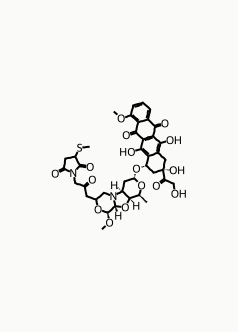 COc1cccc2c1C(=O)c1c(O)c3c(c(O)c1C2=O)C[C@@](O)(C(=O)CO)C[C@@H]3O[C@H]1C[C@H]2[C@H](O[C@@H]3[C@@H](OC)OC(CC(=O)CN4C(=O)CC(SC)C4=O)CN32)[C@H](C)O1